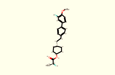 CCCCOc1ccc(-c2ccc(CC[C@H]3CC[C@H](OC(=O)[C@@H](F)CCCC)CC3)cc2)cc1F